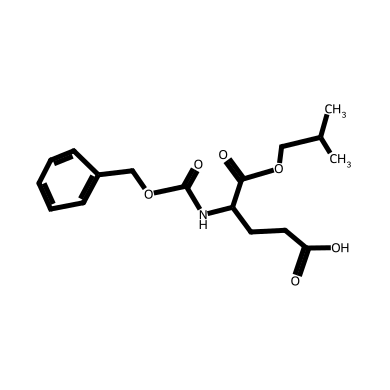 CC(C)COC(=O)C(CCC(=O)O)NC(=O)OCc1ccccc1